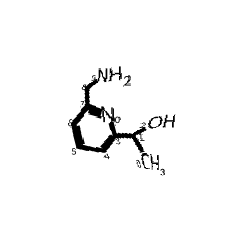 CC(O)c1cccc(CN)n1